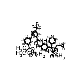 CC(C)(C)C(OC(N)=O)c1cccc(-n2nc(C(F)(F)F)cc2C(=O)Nc2cc(C(CCC3CC3)(NS(C)(=O)=O)c3ccncc3)ccc2F)c1